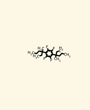 CCCC(C)(CC)c1c(F)c(F)c(C(C)(CC)CCC)c(F)c1F